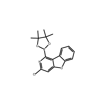 CC1(C)OB(c2nc(Cl)cc3oc4ccccc4c23)OC1(C)C